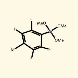 CO[Si](OC)(OC)c1c(F)c(F)c(Br)c(F)c1F